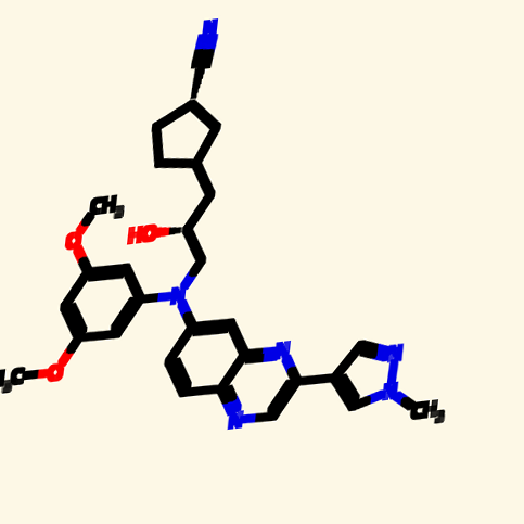 COc1cc(OC)cc(N(C[C@H](O)CC2CC[C@H](C#N)C2)c2ccc3ncc(-c4cnn(C)c4)nc3c2)c1